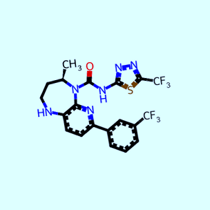 C[C@@H]1CCNc2ccc(-c3cccc(C(F)(F)F)c3)nc2N1C(=O)Nc1nnc(C(F)(F)F)s1